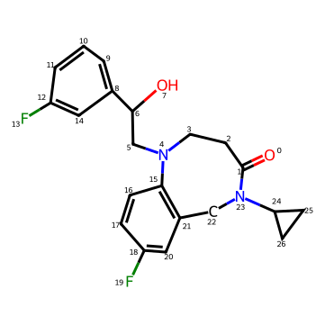 O=C1CCN(CC(O)c2cccc(F)c2)c2ccc(F)cc2CN1C1CC1